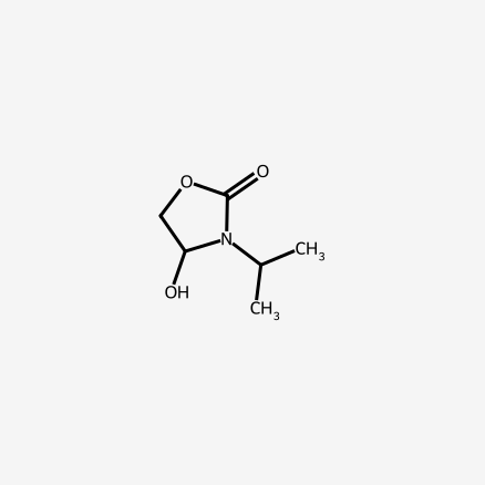 CC(C)N1C(=O)OCC1O